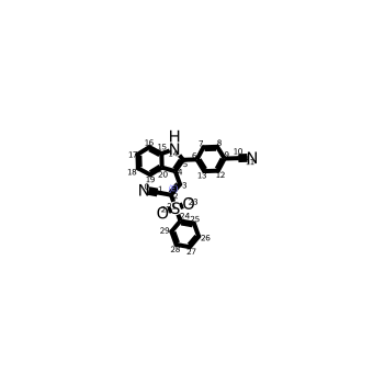 N#C/C(=C\c1c(-c2ccc(C#N)cc2)[nH]c2ccccc12)S(=O)(=O)c1ccccc1